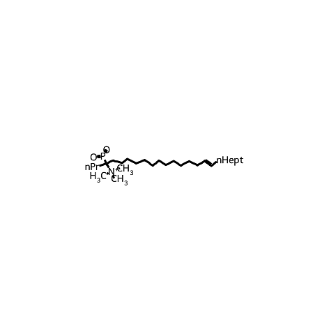 CCCCCCCC=CCCCCCCCCCCCCC(CCC)(P(=O)=O)[N+](C)(C)C